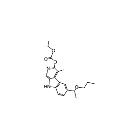 CCCOC(C)c1ccc2[nH]c3cnc(OC(=O)OCC)c(C)c3c2c1